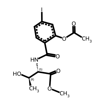 COC(=O)[C@@H](NC(=O)c1ccc(I)cc1OC(C)=O)[C@@H](C)O